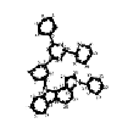 c1ccc(-c2cc(-c3cccc(-n4c5ccccc5c5ccc6c(ccn6-c6ccccc6)c54)c3)nc(-c3ccccn3)n2)cc1